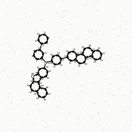 c1ccc(-c2cccc(N(c3ccc(-c4ccc5c(ccc6c7ccccc7ccc56)c4)cc3)c3ccc4c(c3)oc3ccc5ccccc5c34)c2)cc1